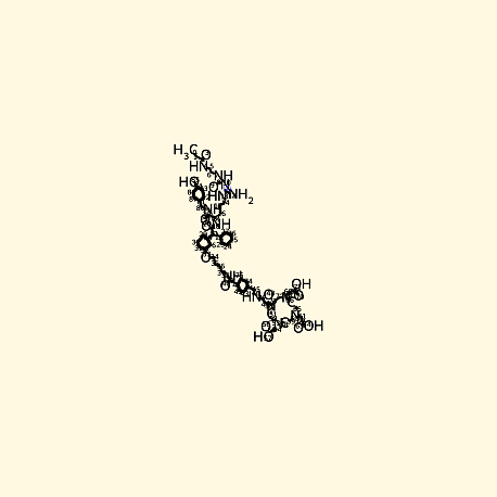 CCC(=O)NCCNC(=O)/N=C(/N)NCCC[C@@H](NC(=O)[C@@H](c1ccccc1)c1cccc(OCCCCNC(=O)c2ccc(CNC(=O)CN3CCN(CC(=O)O)CCN(CC(=O)O)CCN(CC(=O)O)CC3)cc2)c1)C(=O)NCc1ccc(O)cc1